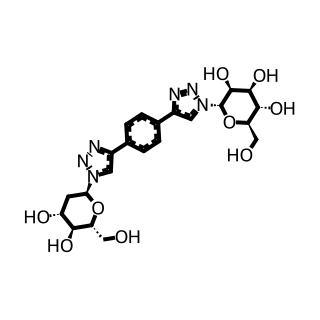 OC[C@H]1O[C@H](n2cc(-c3ccc(-c4cn([C@@H]5C[C@@H](O)[C@H](O)[C@@H](CO)O5)nn4)cc3)nn2)[C@@H](O)[C@@H](O)[C@@H]1O